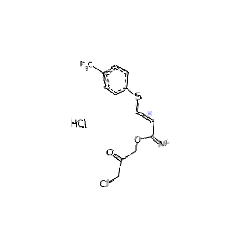 Cl.N=C(/C=C/Sc1ccc(C(F)(F)F)cc1)OCC(=O)CCl